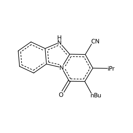 CCCCc1c(C(C)C)c(C#N)c2[nH]c3ccccc3n2c1=O